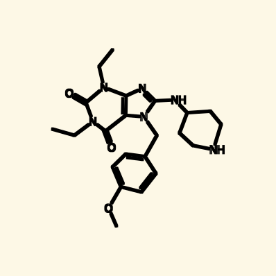 CCn1c(=O)c2c(nc(NC3CCNCC3)n2Cc2ccc(OC)cc2)n(CC)c1=O